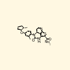 Cc1cc(OC2=CC=CC2C)ccc1N1C(=O)Nc2c(C(N)=O)sc3nccc1c23